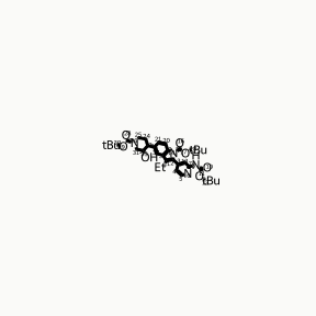 CCc1c(-c2ccnc(NC(=O)OC(C)(C)C)c2)n(C(=O)OC(C)(C)C)c2ccc(C3CCN(C(=O)OC(C)(C)C)CC3O)cc12